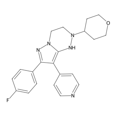 Fc1ccc(-c2nn3c(c2-c2ccncc2)NN(C2CCOCC2)CC3)cc1